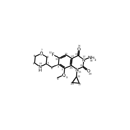 COc1c([CH]C2COCCN2)c(F)cc2c(=O)n(N)c(=O)n(C3CC3)c12